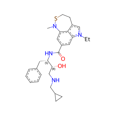 CCn1cc2c3c(cc(C(=O)N[C@@H](Cc4ccccc4)[C@H](O)CNCC4CC4)cc31)N(C)SCC2